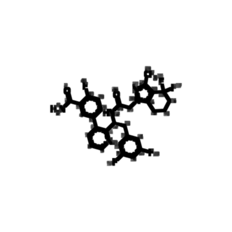 NC(=O)c1cc(-c2cccnc2[C@H](Cc2cc(F)cc(F)c2)NC(=O)Cn2nc(C(F)(F)F)c3c2CCCC3(F)F)ccc1F